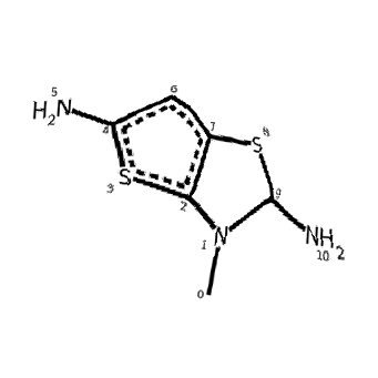 CN1c2sc(N)cc2SC1N